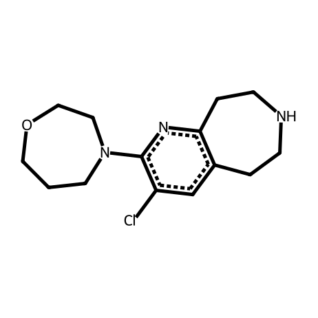 Clc1cc2c(nc1N1CCCOCC1)CCNCC2